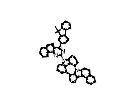 CC1(C)c2ccccc2-c2ccc(-c3nc(-n4c5cccc6c7cccc8c9c%10ccccc%10ccc9n(c9cccc4c9c65)c78)nc4c3ccc3ccccc34)cc21